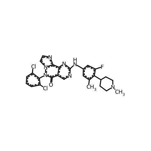 Cc1cc(Nc2ncc3c(=O)n(-c4c(Cl)cccc4Cl)n4ccnc4c3n2)cc(F)c1C1CCN(C)CC1